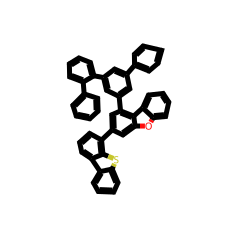 c1ccc(-c2cc(-c3ccccc3-c3ccccc3)cc(-c3cc(-c4cccc5c4sc4ccccc45)cc4oc5ccccc5c34)c2)cc1